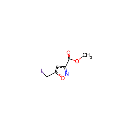 COC(=O)c1cc(CI)on1